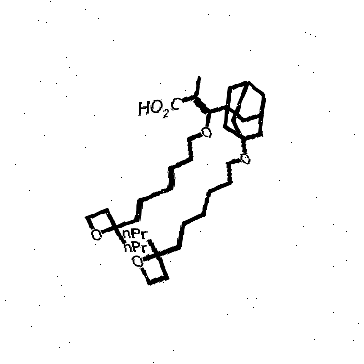 CCCC1(CCCCCCOC(=C(C)C(=O)O)C23CC4CC(CC(OCCCCCCC5(CCC)CCO5)(C4)C2)C3)CCO1